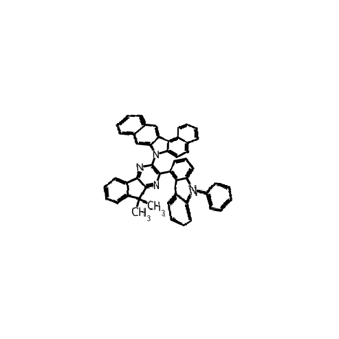 CC1(C)c2ccccc2-c2nc(-n3c4cc5ccccc5cc4c4c5ccccc5ccc43)c(-c3cccc4c3c3ccccc3n4-c3ccccc3)nc21